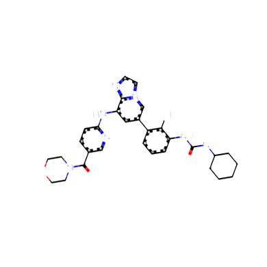 Cc1c(NC(=O)NC2CCCCC2)cccc1-c1cc(Nc2ccc(C(=O)N3CCOCC3)cn2)c2nccn2c1